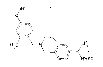 CC(=O)NC(C)c1ccc2c(c1)CCN(Cc1ccc(OC(C)C)cc1C)C2